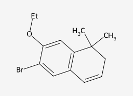 CCOc1cc2c(cc1Br)C=CCC2(C)C